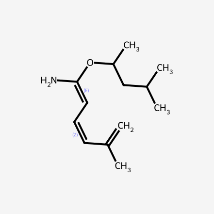 C=C(C)/C=C\C=C(/N)OC(C)CC(C)C